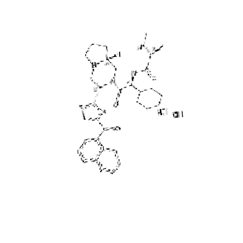 CN[C@@H](C)C(=O)N[C@H](C(=O)N1C[C@H]2CCCN2C[C@H]1c1nc(C(=O)c2cccc3ccccc23)cs1)C1CCCCC1.Cl.Cl